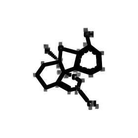 CN1C=C2CCC[C@H]3Oc4c(O)cccc4[C@@]23CC1